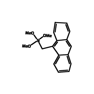 CO[Si](Cc1c2ccccc2cc2ccccc12)(OC)OC